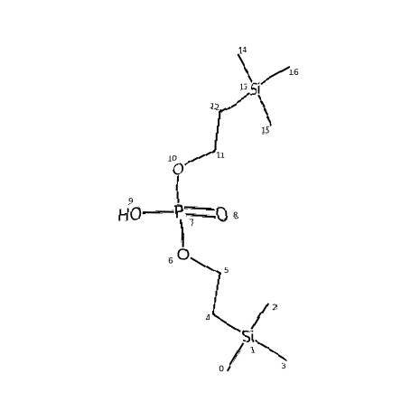 C[Si](C)(C)CCOP(=O)(O)OCC[Si](C)(C)C